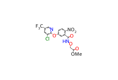 COC(=O)CONC(=O)c1cc(Oc2ncc(C(F)(F)F)cc2Cl)ccc1[N+](=O)[O-]